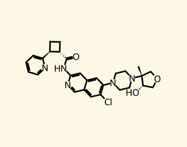 C[C@@]1(N2CCN(c3cc4cc(NC(=O)[C@H]5CC[C@@H]5c5ccccn5)ncc4cc3Cl)CC2)COC[C@@H]1O